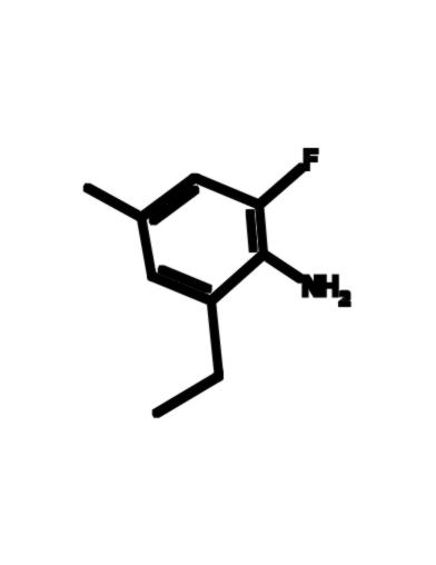 CCc1cc(C)cc(F)c1N